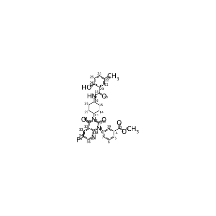 COC(=O)c1cccc(-n2c(=O)n(C3CCC(NC(=O)c4cc(C)ccc4O)CC3)c(=O)c3cc(F)cnc32)c1